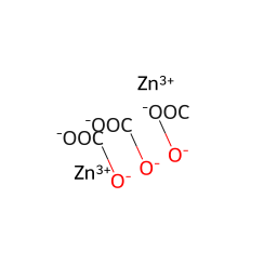 O=C([O-])[O-].O=C([O-])[O-].O=C([O-])[O-].[Zn+3].[Zn+3]